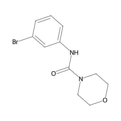 O=C(Nc1cccc(Br)c1)N1CCOCC1